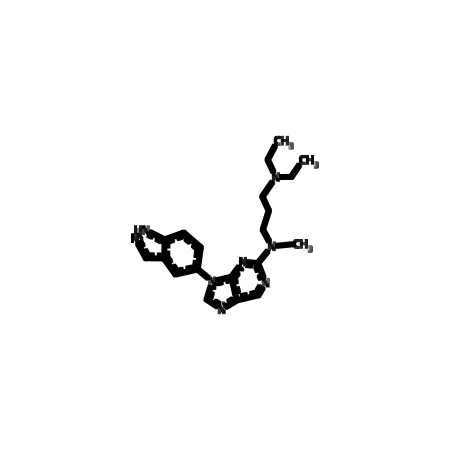 CCN(CC)CCCN(C)c1ncc2ncn(-c3ccc4[nH]ncc4c3)c2n1